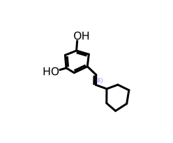 Oc1cc(O)cc(/C=C/C2CCCCC2)c1